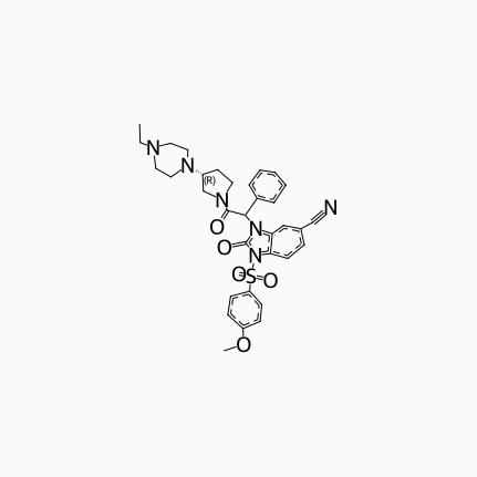 CCN1CCN([C@@H]2CCN(C(=O)C(c3ccccc3)n3c(=O)n(S(=O)(=O)c4ccc(OC)cc4)c4ccc(C#N)cc43)C2)CC1